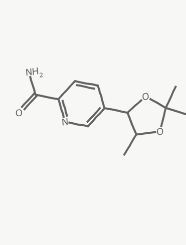 CC1OC(C)(C)OC1c1ccc(C(N)=O)nc1